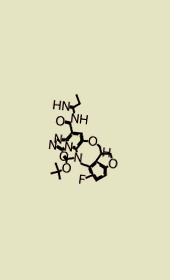 CCC(=N)NC(=O)c1cc2c(n3cnnc13)N(C(=O)OC(C)(C)C)Cc1c(F)ccc3c1[C@H](CO3)CO2